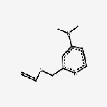 C=CSCc1cc(N(C)C)ccn1